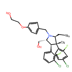 CC(C)(C)C[C@@H]1N(Cc2ccc(OCCO)cc2)[C@@H](CO)[C@H](c2cccc(Cl)c2F)[C@@]1(C#N)c1ccc(Cl)cc1F